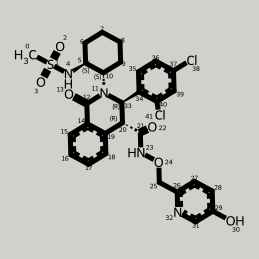 CS(=O)(=O)N[C@H]1CCCC[C@@H]1N1C(=O)c2ccccc2[C@@H](C(=O)NOCc2ccc(O)cn2)[C@@H]1c1ccc(Cl)cc1Cl